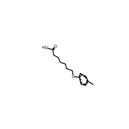 Cc1ccc(OCCCCCCC(=O)O)cc1